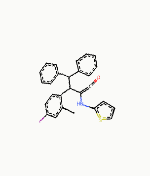 Cc1cc(I)ccc1C(C(=C=O)Nc1cccs1)C(c1ccccc1)c1ccccc1